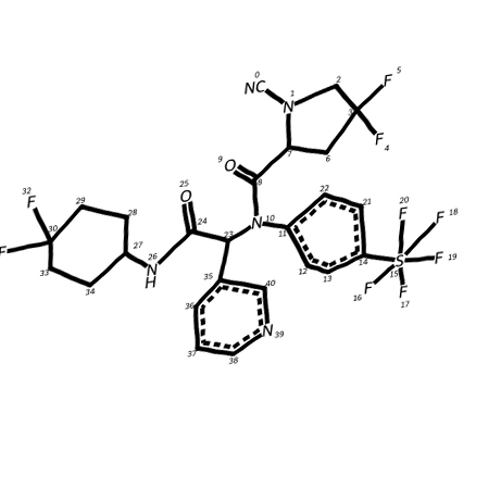 N#CN1CC(F)(F)CC1C(=O)N(c1ccc(S(F)(F)(F)(F)F)cc1)C(C(=O)NC1CCC(F)(F)CC1)c1cccnc1